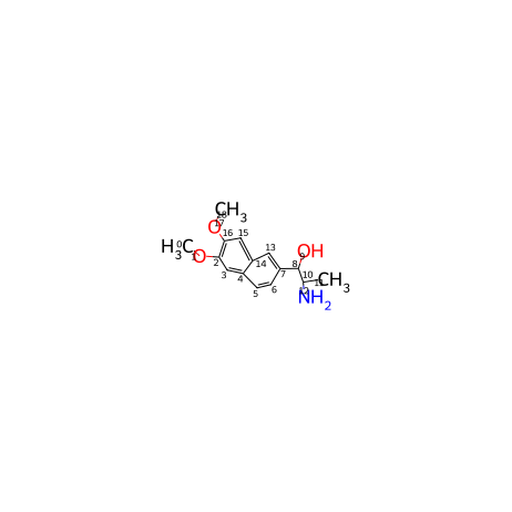 COc1cc2ccc(C(O)C(C)N)cc2cc1OC